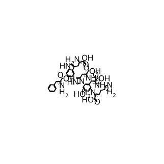 NCCCC[C@H](N)C(=O)O.N[C@@H](Cc1c[nH]c2ccccc12)C(=O)O.N[C@@H](Cc1c[nH]cn1)C(=O)O.N[C@@H](Cc1ccc(O)cc1)C(=O)O.N[C@@H](Cc1ccccc1)C(=O)O